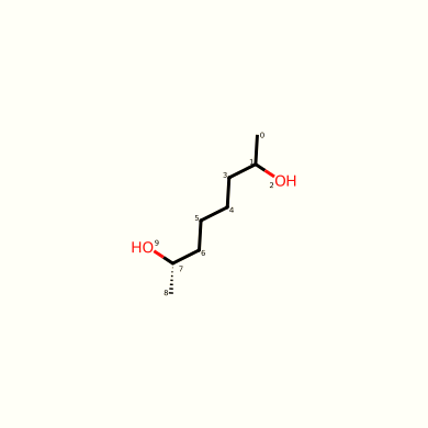 CC(O)CCCC[C@H](C)O